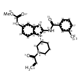 C=CC(=O)N1CCC[C@@H](n2c(NC(=O)c3cccc(C(F)(F)F)c3)nc3cc(OC(=O)OC)ccc32)C1